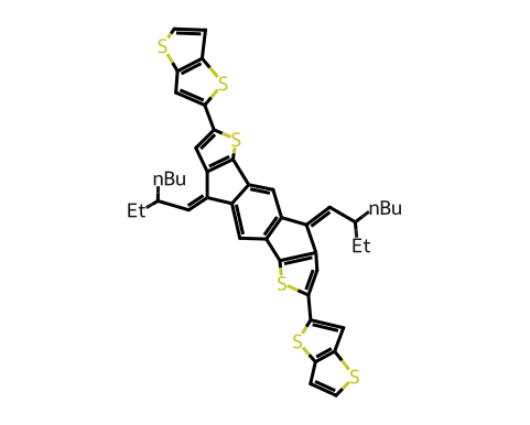 CCCCC(/C=C1/c2cc3c(cc2-c2sc(-c4cc5sccc5s4)cc21)/C(=C/C(CC)CCCC)c1cc(-c2cc4sccc4s2)sc1-3)CC